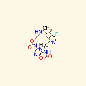 Cc1ncc(F)c2c1CC(C(C)NCC[C@H]1CN(c3cnc4c(n3)NC(=O)CO4)C(=O)O1)C2